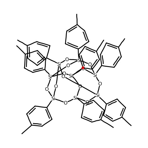 Cc1ccc([Si]23O[Si]4(c5ccc(C)cc5)O[Si]5(c6ccc(C)cc6)O[Si](c6ccc(C)cc6)(O2)O[Si]2(c6ccc(C)cc6)O[Si](c6ccc(C)cc6)(O3)O[Si](c3ccc(C)cc3)(O4)O[Si](c3ccc(C)cc3)(O5)O2)cc1